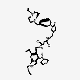 CCc1nc2c(cnn2CC)c(NC2CCOCC2)c1CNC(=O)CCC(=O)NCc1ccc(Cl)c(-c2cccc(CN3CCN(CC)CC3)c2)c1